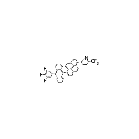 Fc1cc(-c2c3ccccc3c(-c3ccc4ccc5c(-c6ccc(C(F)(F)F)nc6)ccc6ccc3c4c65)c3ccccc23)cc(F)c1F